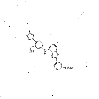 COc1cccc(-n2cc3cccc(Nc4ccc(-n5cnc(C)c5)c(CO)c4)c3n2)c1